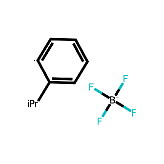 CC(C)c1[c]cccc1.F[B-](F)(F)F